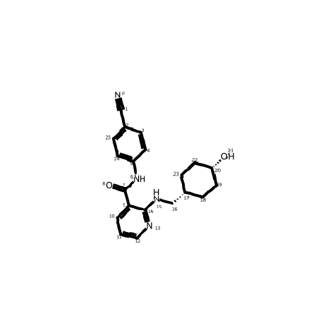 N#Cc1ccc(NC(=O)c2cccnc2NC[C@H]2CC[C@@H](O)CC2)cc1